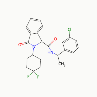 CC(NC(=O)C1c2ccccc2C(=O)N1C1CCC(F)(F)CC1)c1cccc(Cl)c1